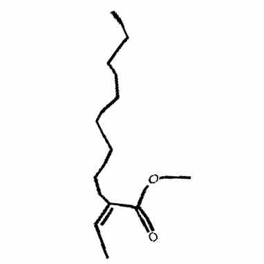 CC=C(CCCCCCC)C(=O)OC